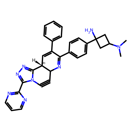 CN(C)C1CC(N)(c2ccc(C3=NC4C#Cn5c(-c6ncccn6)nnc5[C@@H]4C=C3c3ccccc3)cc2)C1